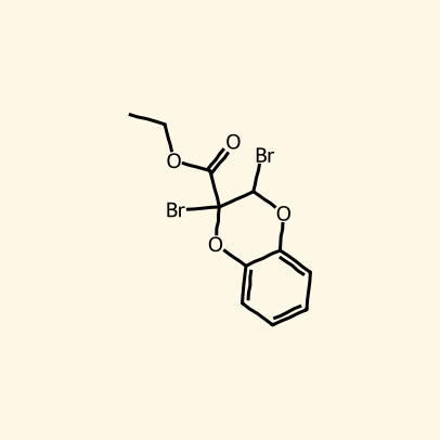 CCOC(=O)C1(Br)Oc2ccccc2OC1Br